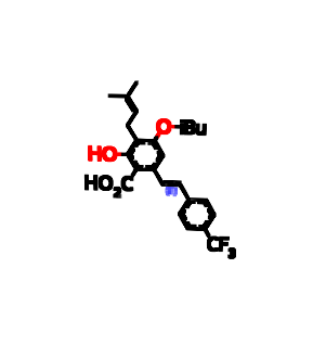 CCC(C)Oc1cc(/C=C/c2ccc(C(F)(F)F)cc2)c(C(=O)O)c(O)c1CC=C(C)C